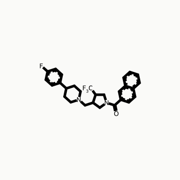 O=C(c1ccc2ccccc2c1)N1CC(CN2CCC(c3ccc(F)cc3)CC2)C(C(F)(F)F)C1